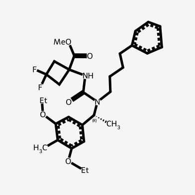 CCOc1cc([C@@H](C)N(CCCCc2ccccc2)C(=O)NC2(C(=O)OC)CC(F)(F)C2)cc(OCC)c1C